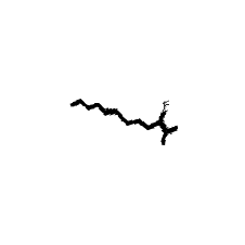 CCCCCCCCC[C](F)C(C)C